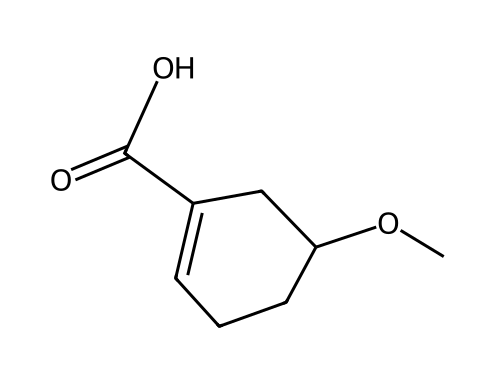 COC1CCC=C(C(=O)O)C1